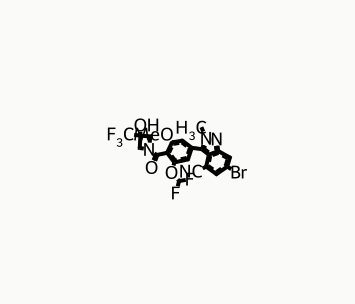 COc1cc(-c2c3c(C#N)cc(Br)cc3nn2C)cc(OC(F)F)c1C(=O)N1CC(O)(C(F)(F)F)C1